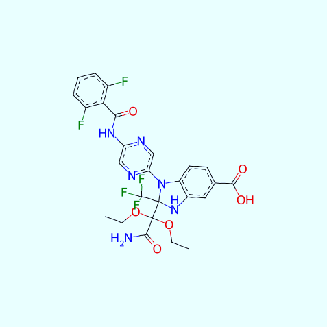 CCOC(OCC)(C(N)=O)C1(C(F)(F)F)Nc2cc(C(=O)O)ccc2N1c1cnc(NC(=O)c2c(F)cccc2F)cn1